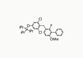 COc1ccc(Cc2c(Cl)cc(O[Si](C(C)C)(C(C)C)C(C)C)cc2Cl)c(F)c1-c1ccccc1